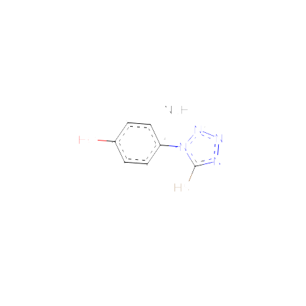 Oc1ccc(-n2nnnc2S)cc1.[NaH]